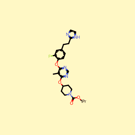 Cc1c(Oc2ccc(CCc3ncc[nH]3)cc2F)ncnc1OC1CCN(C(=O)OC(C)C)CC1